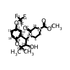 COC(=O)N1CCN(C2c3cc(OC(F)(F)F)ccc3OC(C)(C)C2O)C(=O)C1